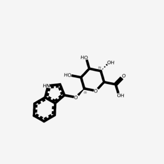 O=C(O)C1O[C@@H](Oc2c[nH]c3ccccc23)C(O)C(O)[C@@H]1O